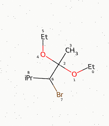 CCOC(C)(OCC)C(Br)C(C)C